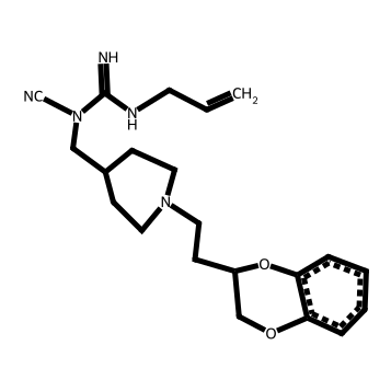 C=CCNC(=N)N(C#N)CC1CCN(CCC2COc3ccccc3O2)CC1